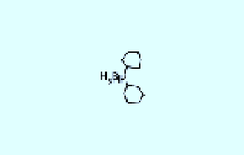 B.C1CCC(PC2CCCCC2)CC1